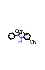 C[C@H](Nc1cc(C#N)ccc1[N+](=O)[O-])c1ccccc1